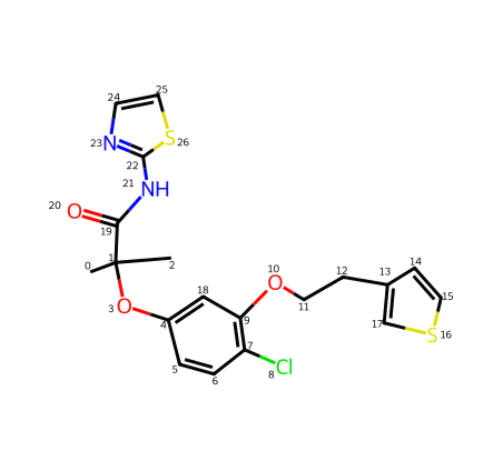 CC(C)(Oc1ccc(Cl)c(OCCc2ccsc2)c1)C(=O)Nc1nccs1